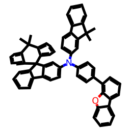 CC1(C)c2ccccc2-c2ccc(N(c3ccc(-c4cccc5c4oc4ccccc45)cc3)c3ccc4c(c3)C3(c5ccccc5-4)c4ccccc4C(C)(C)c4ccccc43)cc21